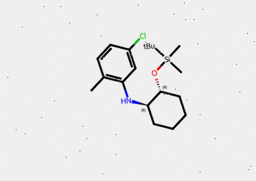 Cc1ccc(Cl)cc1N[C@@H]1CCCC[C@H]1O[Si](C)(C)C(C)(C)C